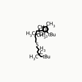 Cc1cc(C(C)(C)C)cc(C(C)(C)CC(C)(C)CCCSCCCC(C)(C)CC(C)(C)C)c1